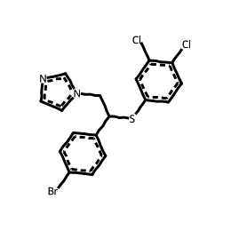 Clc1ccc(SC(Cn2ccnc2)c2ccc(Br)cc2)cc1Cl